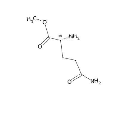 COC(=O)[C@H](N)CCC(N)=O